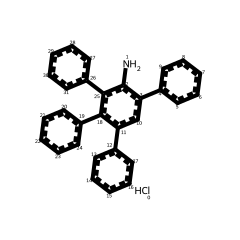 Cl.Nc1c(-c2ccccc2)cc(-c2ccccc2)c(-c2ccccc2)c1-c1ccccc1